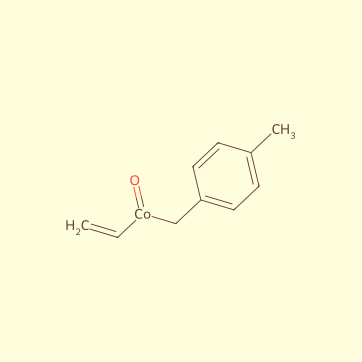 C=[CH][Co](=[O])[CH2]c1ccc(C)cc1